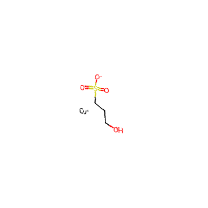 O=S(=O)([O-])CCCO.[Cu+]